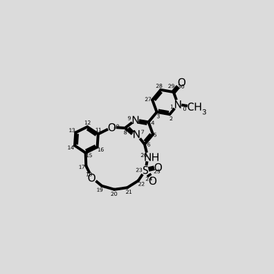 Cn1cc(-c2cc3nc(n2)Oc2cccc(c2)COCCCCS(=O)(=O)N3)ccc1=O